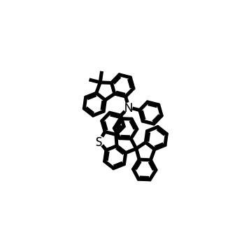 CC1(C)c2ccccc2-c2c(N(c3ccccc3)c3ccc4sc5cccc(C6(c7ccccc7)c7ccccc7-c7ccccc76)c5c4c3)cccc21